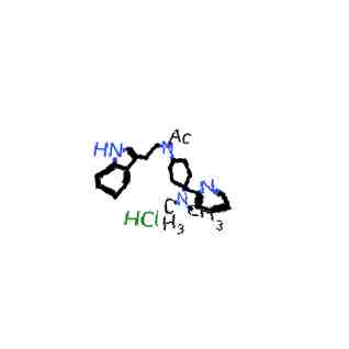 CC(=O)N(CCc1c[nH]c2ccccc12)C1CCC(c2ccccn2)(N(C)C)CC1.Cl